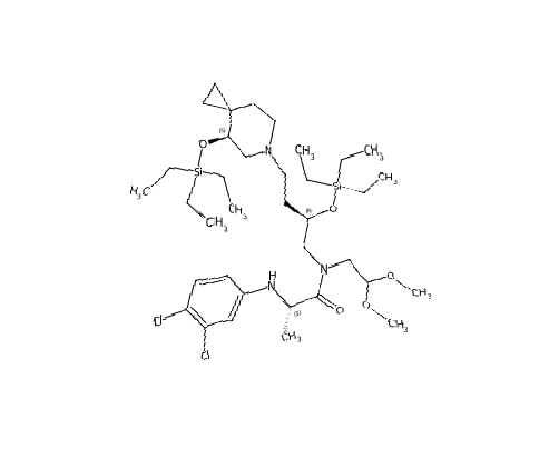 CC[Si](CC)(CC)O[C@H](CCN1CCC2(CC2)[C@H](O[Si](CC)(CC)CC)C1)CN(CC(OC)OC)C(=O)[C@H](C)Nc1ccc(Cl)c(Cl)c1